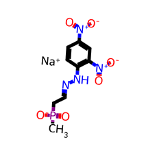 CP(=O)([O-])CC=NNc1ccc([N+](=O)[O-])cc1[N+](=O)[O-].[Na+]